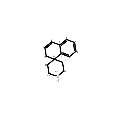 C1=Cc2ccccc2C2(C1)CCNCC2